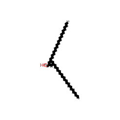 CCCCCCCCCCCCCCCCCCCCCCc1cc(CO)cc(CCCCCCCCCCCCCCCCCCCCCC)c1